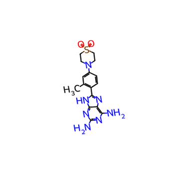 Cc1cc(N2CCS(=O)(=O)CC2)ccc1-c1nc2c(N)nc(N)nc2[nH]1